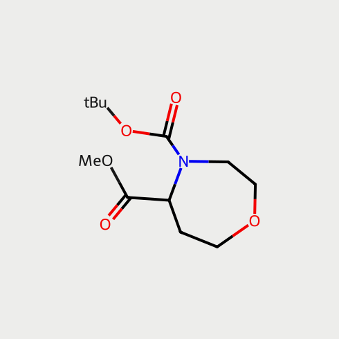 COC(=O)C1CCOCCN1C(=O)OC(C)(C)C